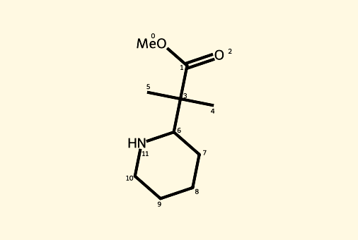 COC(=O)C(C)(C)C1CCCCN1